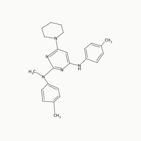 Cc1ccc(Nc2cc(N3CCCCC3)nc(N(C)c3ccc(C)cc3)n2)cc1